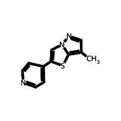 Cc1cnn2cc(-c3ccncc3)sc12